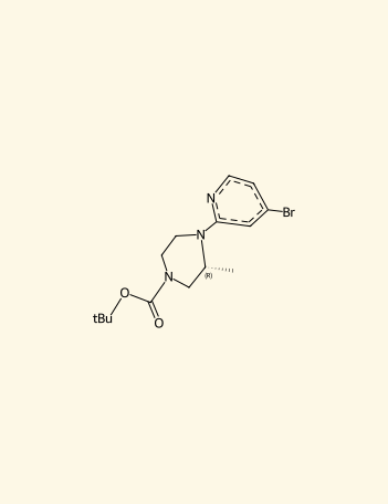 C[C@@H]1CN(C(=O)OC(C)(C)C)CCN1c1cc(Br)ccn1